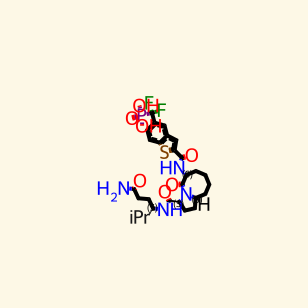 CC(C)[C@H](CCC(N)=O)NC(=O)[C@@H]1CC[C@@H]2CCCC[C@H](NC(=O)c3cc4cc(C(F)(F)P(=O)(O)O)ccc4s3)C(=O)N21